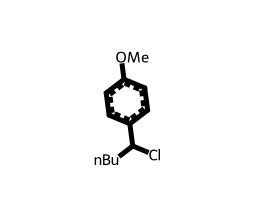 CCCCC(Cl)c1ccc(OC)cc1